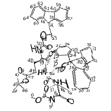 COC(=O)N(C)C(=O)C(C)(C)NC(=O)[C@@H](CSC(c1ccccc1)(c1ccccc1)c1ccccc1)NC(=O)[C@@H](CCC(=O)OC(C)(C)C)NC(=O)OCC1c2ccccc2-c2ccccc21